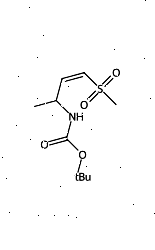 CC(/C=C\S(C)(=O)=O)NC(=O)OC(C)(C)C